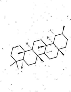 C[C@H]1[C@@H]2[C@H]3CC[C@@H]4[C@@]5(C)CCCC(C)(C)[C@@H]5CC[C@@]4(C)[C@]3(C)CC[C@@]2(C)CC[C@@H]1C